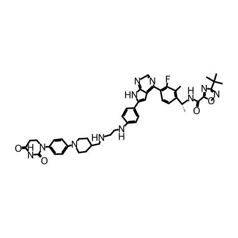 Cc1c([C@@H](C)NC(=O)c2nc(C(C)(C)C)no2)ccc(-c2ncnc3[nH]c(-c4ccc(NCCNCC5CCN(c6ccc(N7CCC(=O)NC7=O)cc6)CC5)cc4)cc23)c1F